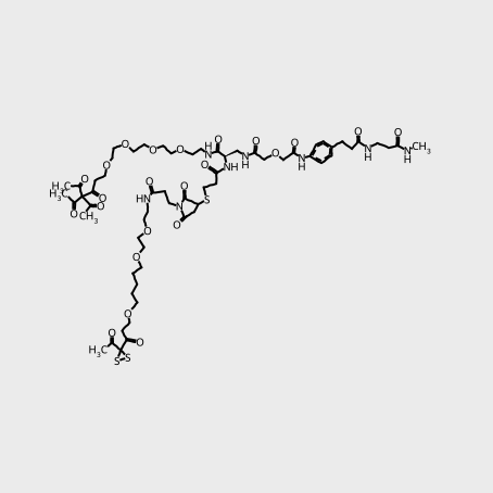 CNC(=O)CCNC(=O)CCc1ccc(NC(=O)COCC(=O)NC[C@@H](NC(=O)CCSC2CC(=O)N(CCC(=O)NCCOCCOCCCCCOCCC(=O)C3(C(C)=O)SS3)C2=O)C(=O)NCCOCCOCCOCCOCCC(=O)C(C(C)=O)(C(C)=O)C(C)=O)cc1